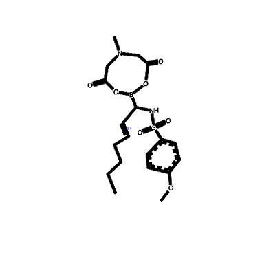 CCCC/C=C/C(NS(=O)(=O)c1ccc(OC)cc1)B1OC(=O)CN(C)CC(=O)O1